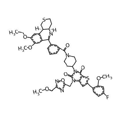 CCOc1cc2c(cc1OC)C(c1cccc(C(=O)N3CCC(n4c(=O)c5sc(-c6ccc(F)cc6OC)cc5n(Cc5nc(COC)no5)c4=O)CC3)c1)=N[C@@H]1CCSC[C@H]21